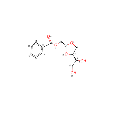 O=C(OC[C@H]1OC[C@@H](C(O)CO)O1)c1ccccc1